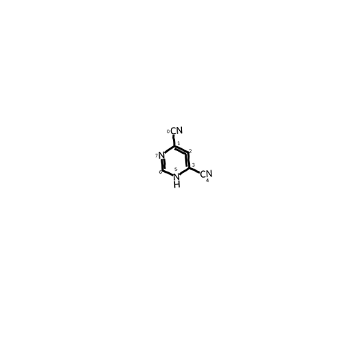 N#CC1=C=C(C#N)NC=N1